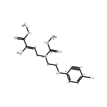 CCCOC(=O)/C(C)=C/CN(CCOc1c#cc(I)cc1)C(=O)OC(C)(C)C